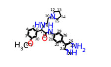 COc1cccc(C(NCCN2CCCC2)C(=O)Nc2ccc(/C(C=N)=C/N)cc2)c1